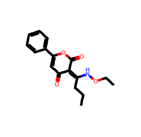 CCCC(NOCC)=C1C(=O)C=C(c2ccccc2)OC1=O